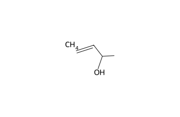 C.C=CC(C)O